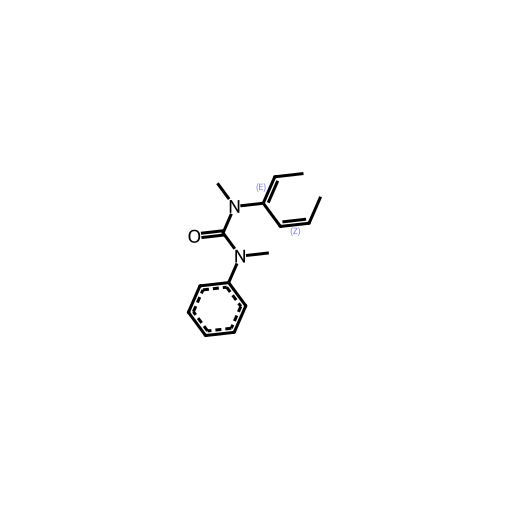 C/C=C\C(=C/C)N(C)C(=O)N(C)c1ccccc1